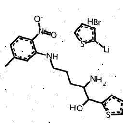 Br.Cc1ccc([N+](=O)[O-])c(NCCCC(N)C(O)c2cccs2)c1.[Li][c]1cccs1